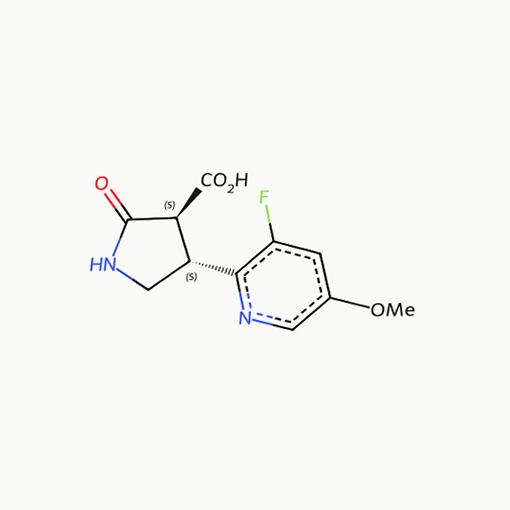 COc1cnc([C@@H]2CNC(=O)[C@H]2C(=O)O)c(F)c1